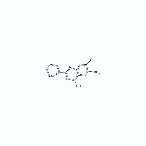 Bc1cc2c(O)nc(-c3cccnc3)nc2cc1F